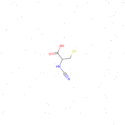 N#CNC(CS)C(=O)O